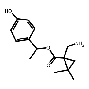 CC(OC(=O)C1(CN)CC1(C)C)c1ccc(O)cc1